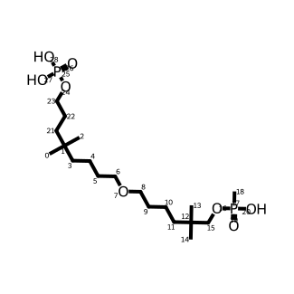 CC(C)(CCCCOCCCCC(C)(C)COP(C)(=O)O)CCCOP(=O)(O)O